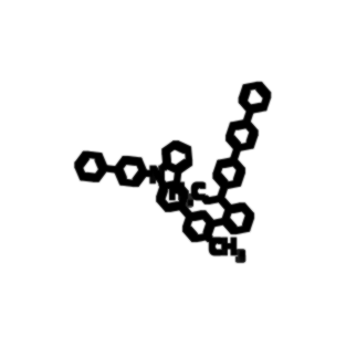 CCC(c1ccc(-c2ccc(-c3ccccc3)cc2)cc1)c1ccccc1-c1cc(-c2ccc3c(c2)c2ccccc2n3-c2ccc(-c3ccccc3)cc2)ccc1C